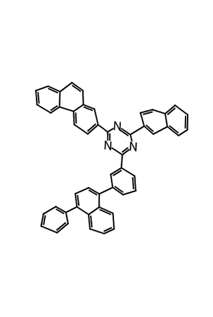 c1ccc(-c2ccc(-c3cccc(-c4nc(-c5ccc6ccccc6c5)nc(-c5ccc6c(ccc7ccccc76)c5)n4)c3)c3ccccc23)cc1